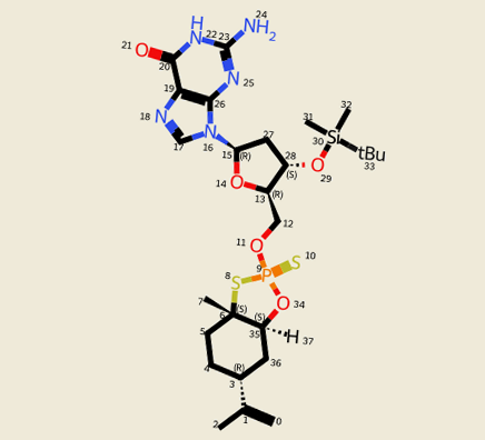 C=C(C)[C@@H]1CC[C@]2(C)SP(=S)(OC[C@H]3O[C@@H](n4cnc5c(=O)[nH]c(N)nc54)C[C@@H]3O[Si](C)(C)C(C)(C)C)O[C@H]2C1